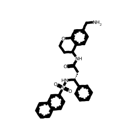 NCc1ccc2c(c1)OCCC2NC(=O)C[C@@H](NS(=O)(=O)c1ccc2ccccc2c1)c1ccccc1